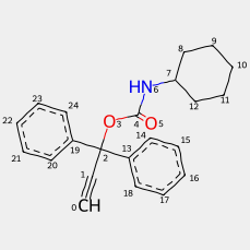 C#CC(OC(=O)NC1CCCCC1)(c1ccccc1)c1ccccc1